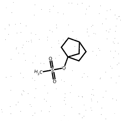 CS(=O)(=O)OC12CCC(CC1)C2